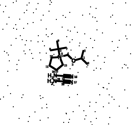 CC(C)OC[N+]1(C(C)(C)C)CCCC1.N#CN.N#CN